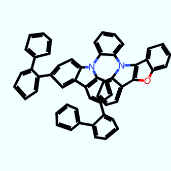 c1ccc(-c2ccccc2-c2ccc3c(c2)c2cc(-c4ccccc4-c4ccccc4)ccc2n3-c2ccccc2-n2c3ccccc3c3oc4ccccc4c32)cc1